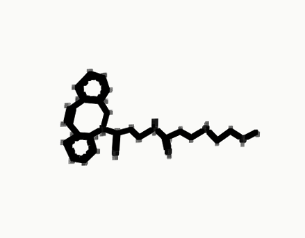 COCCOCCC(=O)NCCC(=O)N1Cc2ccccc2C#Cc2ccccc21